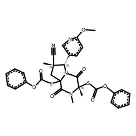 COc1ccc([C@@H]2N3C(=O)[C@](C)(SC(=O)Oc4ccccc4)N(C)C(=O)C3(SC(=O)Oc3ccccc3)C[C@]2(C)C#N)cn1